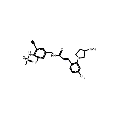 C#Cc1cc(CNC(=O)/C=C/c2ccc(C(F)(F)F)cc2N2CCC(OC)C2)cc(F)c1NS(C)(=O)=O